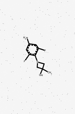 CC1(O)CN(c2c(F)cc(N)cc2F)C1